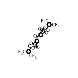 O=C(ON1C(=O)c2ccc(C(=O)c3ccc4c(c3)C(=O)N(OC(=O)c3cc(C(F)(F)F)cc(C(F)(F)F)c3)C4=O)cc2C1=O)c1cc(C(F)(F)F)cc(C(F)(F)F)c1